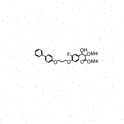 COC(=O)C(OC)C(O)c1ccc(OCCCOc2ccc(-c3ccccc3)cc2)c(F)c1